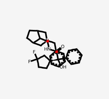 O=C(NCC1C2CCC1CN(Cc1ccccc1)C2)C(O)(c1ccccc1)[C@H]1CCC(F)(F)C1